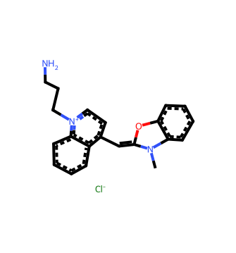 CN1/C(=C/c2cc[n+](CCCN)c3ccccc23)Oc2ccccc21.[Cl-]